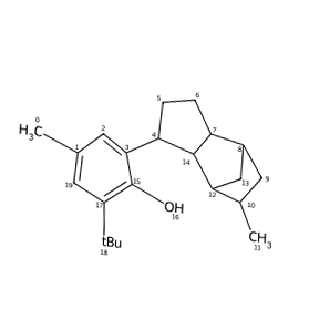 Cc1cc(C2CCC3C4CC(C)C(C4)C23)c(O)c(C(C)(C)C)c1